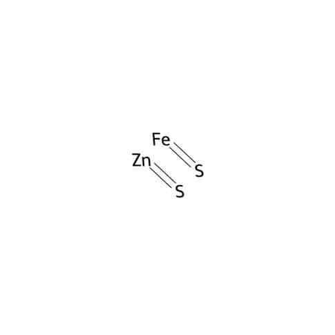 [S]=[Fe].[S]=[Zn]